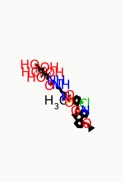 CN(CCCCNC(=O)NC[C@H](O)[C@@H](O)[C@H](O)[C@H](O)CO)S(=O)(=O)c1ccc(Cl)c(COC2(c3cnccc3-c3ccccc3OC3CC3)CC2)c1